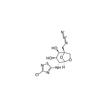 [N-]=[N+]=NC[C@@]12CO[C@H](O1)[C@H](Nc1nc(Cl)ns1)[C@@H](O)[C@H]2O